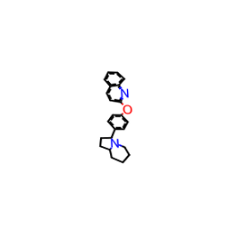 c1ccc2nc(Oc3ccc(C4CCC5CCCCN54)cc3)ccc2c1